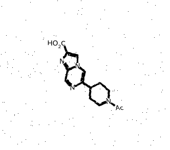 CC(=O)N1CCC(c2cn3cc(C(=O)O)nc3cn2)CC1